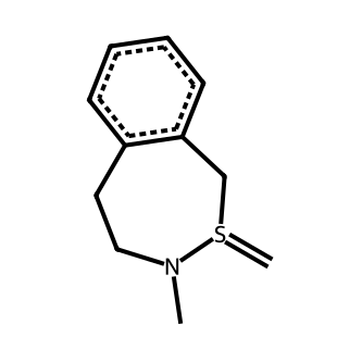 C=S1Cc2ccccc2CCN1C